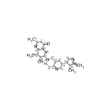 Cc1cc(=O)n2nc(N3CCc4ncc(-c5cnn(C)c5C)cc4C3)c(C)c(C)c2n1